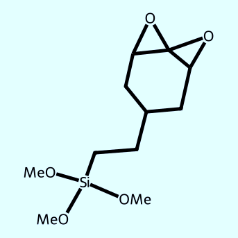 CO[Si](CCC1CC2OC23OC3C1)(OC)OC